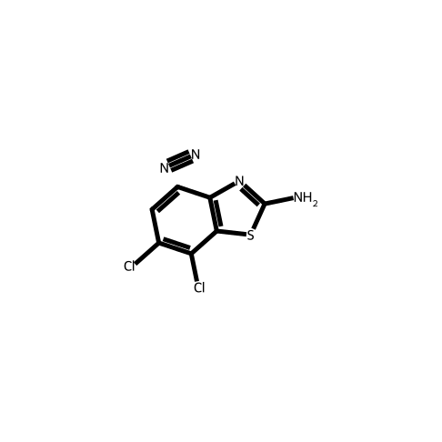 N#N.Nc1nc2ccc(Cl)c(Cl)c2s1